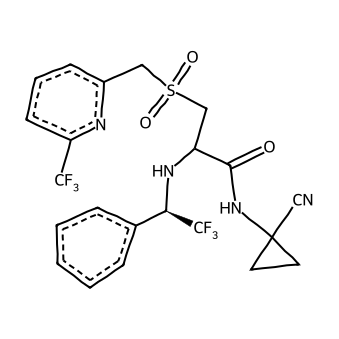 N#CC1(NC(=O)C(CS(=O)(=O)Cc2cccc(C(F)(F)F)n2)N[C@H](c2ccccc2)C(F)(F)F)CC1